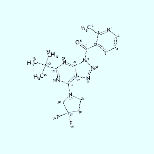 Cc1ncccc1C(=O)n1nnc2c(N3CCC(F)(F)C3)nc(C(C)(C)C)nc21